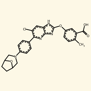 Cc1ccc(Oc2nc3nc(-c4ccc(N5CC6CCC(C5)O6)cc4)c(Cl)cc3[nH]2)cc1C(=O)O